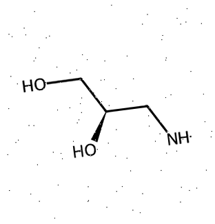 [NH]C[C@@H](O)CO